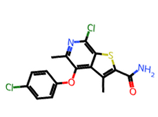 Cc1nc(Cl)c2sc(C(N)=O)c(C)c2c1Oc1ccc(Cl)cc1